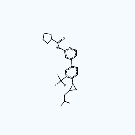 CC(C)CC1CN1c1ccc(-c2ccnc(NC(=O)C3CCCC3)c2)cc1C(F)(F)F